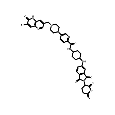 CCc1cc2ncc(CN3CCN(c4ccc(C(=O)NC5CCC(Nc6ccc7c(c6)C(=O)N(C6CCC(=O)NC6=O)C7=O)CC5)nc4)CC3)cc2[nH]c1=O